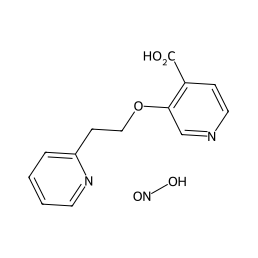 O=C(O)c1ccncc1OCCc1ccccn1.O=NO